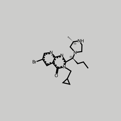 CCC[C@@H](c1nc2ncc(Br)cc2c(=O)n1CC1CC1)N1CCN[C@@H](C)C1